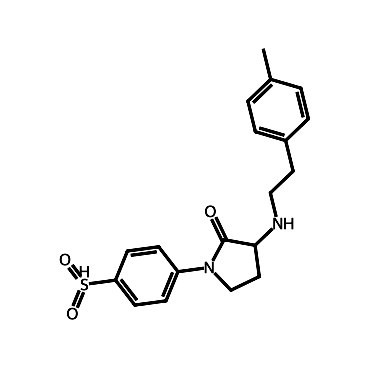 Cc1ccc(CCNC2CCN(c3ccc([SH](=O)=O)cc3)C2=O)cc1